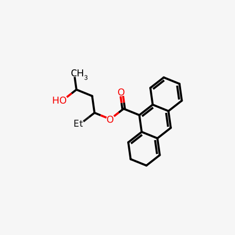 CCC(CC(C)O)OC(=O)c1c2c(cc3ccccc13)=CCCC=2